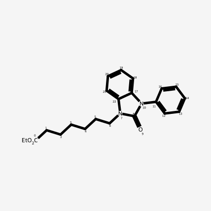 CCOC(=O)CCCCCCn1c(=O)n(-c2ccccc2)c2ccccc21